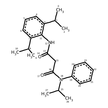 CC(C)c1cccc(C(C)C)c1NC(=O)CC(=O)N(c1ccccc1)C(C)C